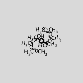 COCC(C)OCC(C)OCC(C)(O)c1ccc(C(C)(O)COC(C)COC(C)COC)cc1